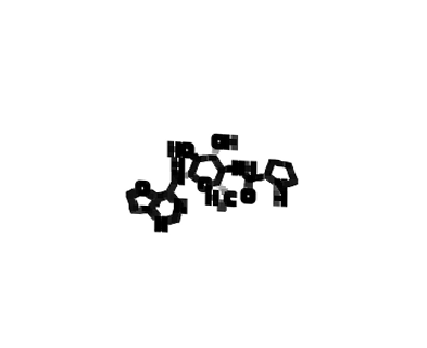 C[C@@H]1O[C@H](Nc2ncnc3ccoc23)[C@@H](O)[C@H](O)[C@H]1NC(=O)[C@H]1CCCN1